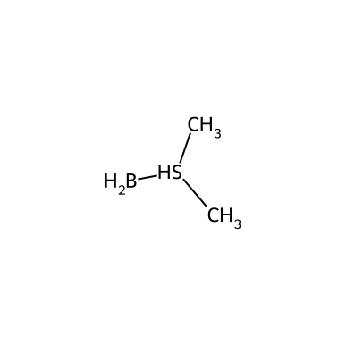 B[SH](C)C